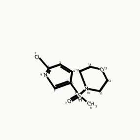 C[SH](=O)(c1ccc(Cl)nc1)N1CCOCC1